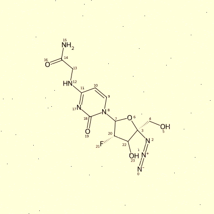 [N-]=[N+]=N[C@]1(CO)OC(n2ccc(NCC(N)=O)nc2=O)[C@@H](F)C1O